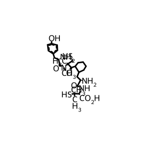 CN(C(=O)[C@@H](N)Cc1ccc(O)cc1)[C@](C)(CS)C(=O)C1CCCCC1C[C@H](N)C(=O)N[C@@H](C(=O)O)C(C)(C)S